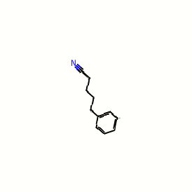 N#CCCCCc1c[c]ccc1